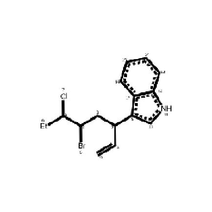 C=CC(CC(Br)C(Cl)CC)c1c[nH]c2ccccc12